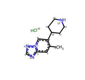 Cc1cc2ncnn2cc1C1CCNCC1.Cl